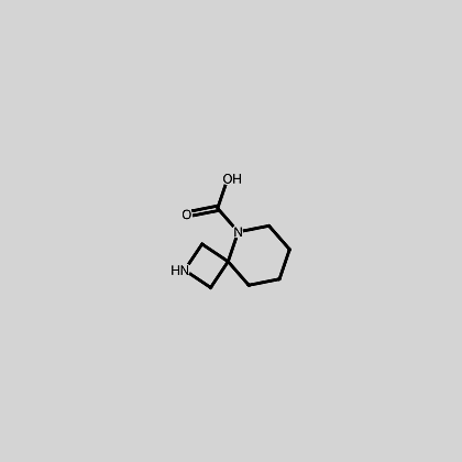 O=C(O)N1CCCCC12CNC2